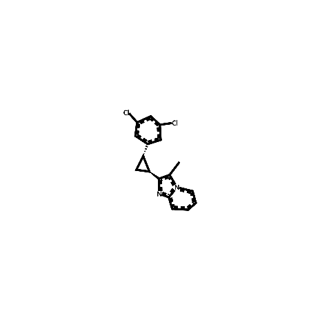 Cc1c([C@H]2C[C@@H]2c2cc(Cl)cc(Cl)c2)nc2ccccn12